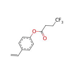 C=Cc1ccc(OC(=O)CCC(F)(F)F)cc1